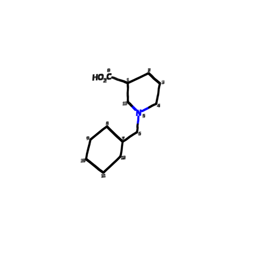 O=C(O)C1CCCN(CC2CCCCC2)C1